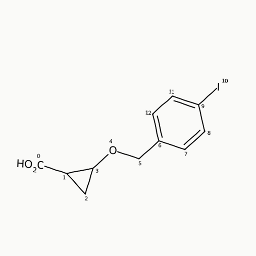 O=C(O)C1CC1OCc1ccc(I)cc1